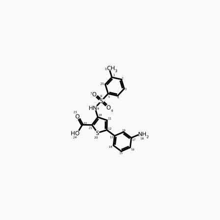 Cc1cccc(S(=O)(=O)Nc2cc(-c3cccc(N)c3)sc2C(=O)O)c1